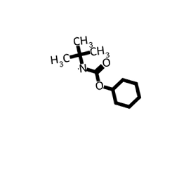 CC(C)(C)[N]C(=O)OC1CCCCC1